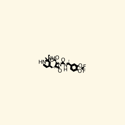 CN[C@]1(C)C=C(C[C@H]2C(=O)N(C(=O)N[C@H](C)c3ccc4c(c3)OC(F)(F)O4)[C@@H]2C(=O)O)C=CN1